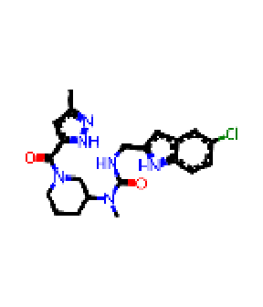 Cc1cc(C(=O)N2CCCC(N(C)C(=O)NCc3cc4cc(Cl)ccc4[nH]3)C2)[nH]n1